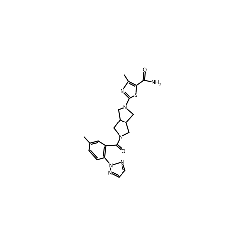 Cc1ccc(-n2nccn2)c(C(=O)N2CC3CN(c4nc(C)c(C(N)=O)s4)CC3C2)c1